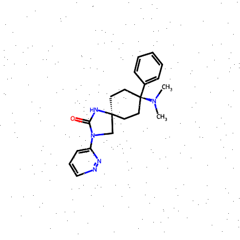 CN(C)[C@]1(c2ccccc2)CC[C@]2(CC1)CN(c1cccnn1)C(=O)N2